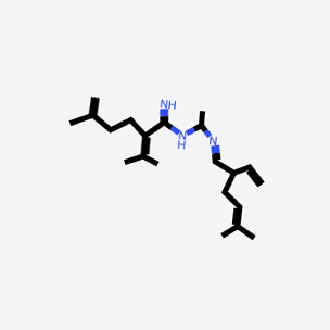 C=CC(/C=N/C(C)NC(=N)C(CCC(=C)C)=C(C)C)CC=C(C)C